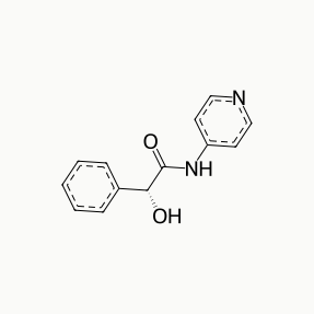 O=C(Nc1ccncc1)[C@H](O)c1ccccc1